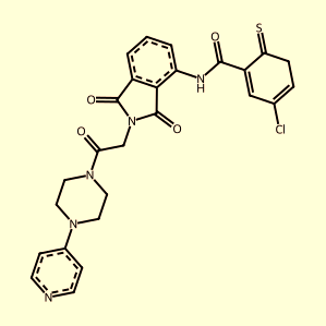 O=C(Nc1cccc2c1C(=O)N(CC(=O)N1CCN(c3ccncc3)CC1)C2=O)C1=CC(Cl)=CCC1=S